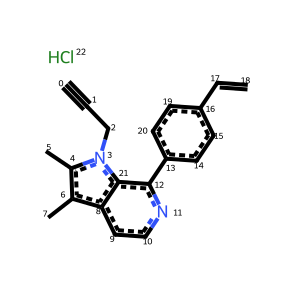 C#CCn1c(C)c(C)c2ccnc(-c3ccc(C=C)cc3)c21.Cl